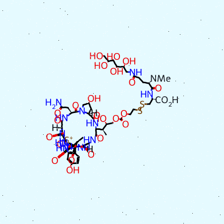 CN[C@@H](CCC(=O)NC[C@H](O)[C@@H](O)[C@H](O)[C@H](O)CO)C(=O)N[C@@H](CSSCCOC(=O)OC[C@H](O)[C@@H](C)[C@@H]1NC(=O)[C@@H]2C[C@@H](O)CN2C(=O)[C@H](CC(N)=O)NC(=O)[C@H]2C[S+]([O-])c3[nH]c4cc(O)ccc4c3C[C@@H](NC1=O)C(=O)NCC(=O)NC(=O)NCC(=O)N2)C(=O)O